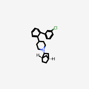 Clc1cccc(-c2ccccc2C2CCN([C@H]3C[C@H]4CC[C@H]3C4)CC2)c1